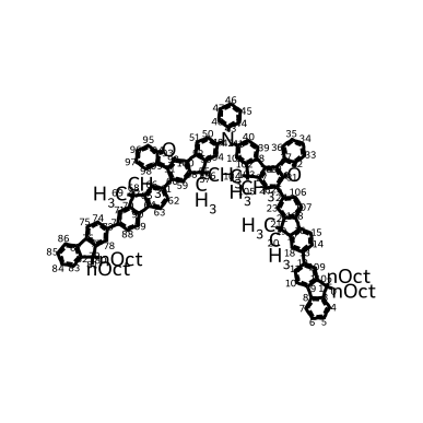 CCCCCCCCC1(CCCCCCCC)c2ccccc2-c2ccc(-c3ccc4c(c3)C(C)(C)c3cc(-c5cc6c(c7c5oc5ccccc57)-c5ccc(N(c7ccccc7)c7ccc8c(c7)C(C)(C)c7cc(-c9ccc%10c(c9)C(C)(C)c9cc(-c%11ccc%12c(c%11)C(CCCCCCCC)(CCCCCCCC)c%11ccccc%11-%12)ccc9-%10)c9c(oc%10ccccc%109)c7-8)cc5C6(C)C)ccc3-4)cc21